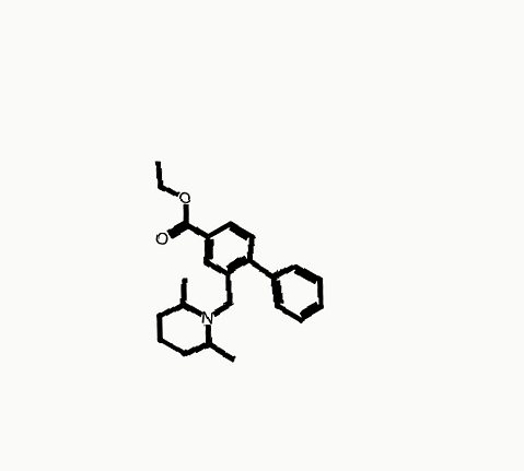 CCOC(=O)c1ccc(-c2ccccc2)c(CN2C(C)CCCC2C)c1